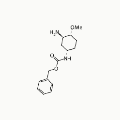 CO[C@@H]1CC[C@H](NC(=O)OCc2ccccc2)C[C@H]1N